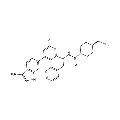 NC[C@H]1CC[C@H](C(=O)NC(Cc2ccccc2)c2cc(Br)cc(-c3ccc4c(N)n[nH]c4c3)c2)CC1